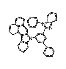 C1=Cc2cccc3cc4c(c(c23)C1)c1ccccc1n4-c1cc(-c2ccccc2)cc(-c2nc3ccccc3n2-c2ccccc2)c1